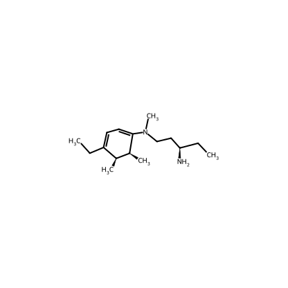 CCC1=CC=C(N(C)CC[C@H](N)CC)[C@@H](C)[C@H]1C